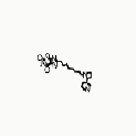 Cn1c(=O)c2c(nc(CCCCCCCCN3CCCC3c3cccnc3)n2C)n(C)c1=O